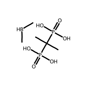 CBC.CC(C)(P(=O)(O)O)P(=O)(O)O